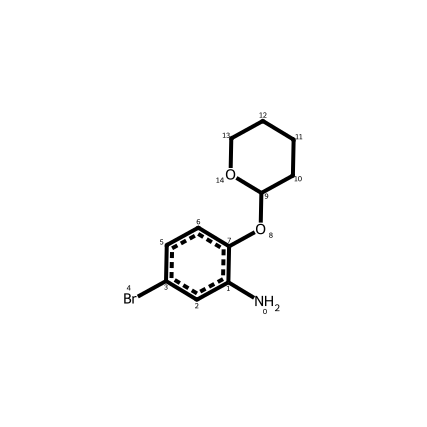 Nc1cc(Br)ccc1OC1CCCCO1